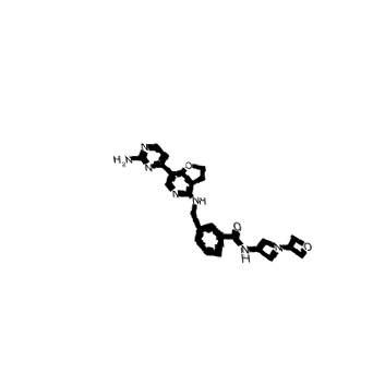 Nc1nccc(-c2cnc(NCc3cccc(C(=O)NC4CN(C5COC5)C4)c3)c3c2OCC3)n1